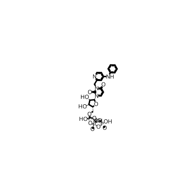 O=c1ccn([C@@H]2O[C@H](COP(=O)(O)OP(=O)(O)OP(=O)(O)O)[C@H](O)[C@@H]2O)c(=O)n1Cc1cc(Nc2ccccc2)ccn1